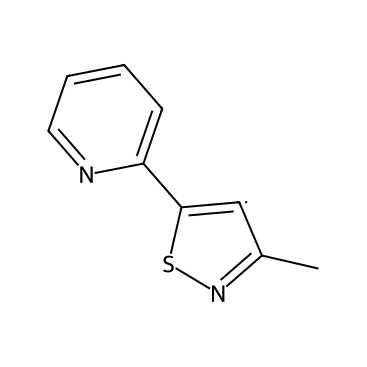 Cc1[c]c(-c2ccccn2)sn1